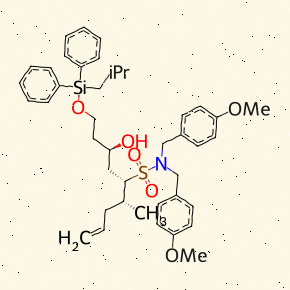 C=CC[C@@H](C)[C@H](C[C@H](O)CCO[Si](CC(C)C)(c1ccccc1)c1ccccc1)S(=O)(=O)N(Cc1ccc(OC)cc1)Cc1ccc(OC)cc1